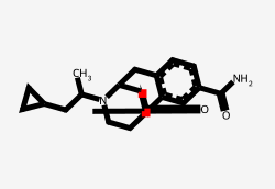 CC(CC1CC1)N1CCC23CC(=O)CCC2C1Cc1ccc(C(N)=O)cc13